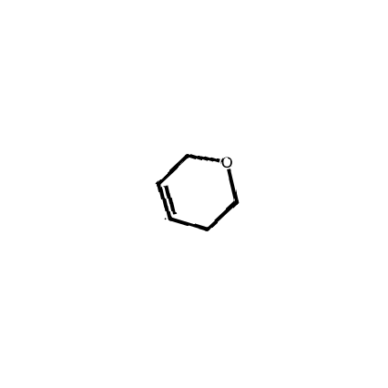 [C]1=CCOCC1